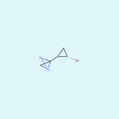 Br[C@H]1CC1C12C3N1[N@@]32